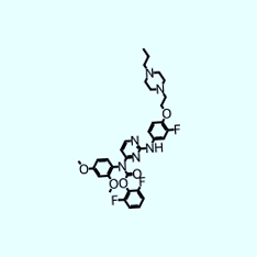 CCCN1CCN(CCOc2ccc(Nc3nccc(N(C(=O)Oc4c(F)cccc4F)c4ccc(OC)cc4OC)n3)cc2F)CC1